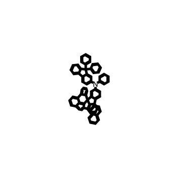 c1ccc(N(c2ccc3c(c2)C(c2ccccc2)(c2ccccc2)c2ccccc2-3)c2ccc3c(c2)C2(c4ccccc4-3)c3ccccc3-c3cccc4ccc(-c5cccc6ccccc56)c2c34)cc1